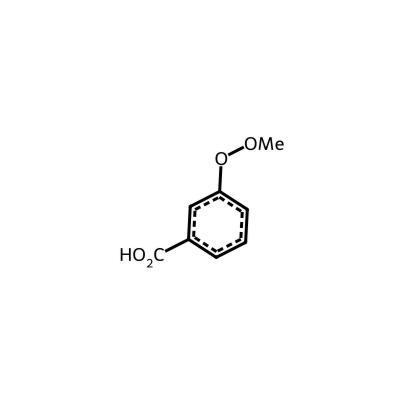 COOc1cccc(C(=O)O)c1